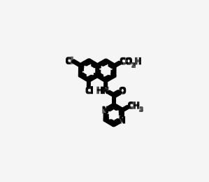 Cc1nccnc1C(=O)Nc1cc(C(=O)O)cc2cc(Cl)cc(Cl)c12